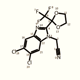 N#CCn1c(C2(C(F)(F)F)OCCO2)nc2cc(Cl)c(Cl)cc21